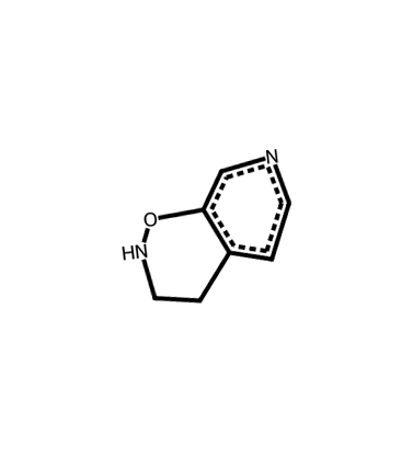 c1cc2c(cn1)ONCC2